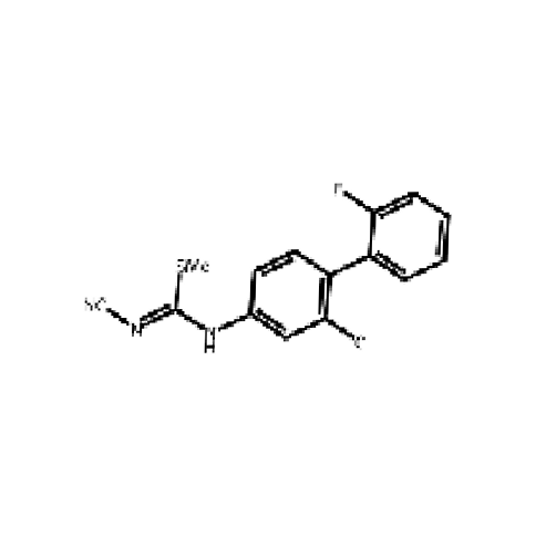 CS/C(=N\C#N)Nc1ccc(-c2ccccc2F)c(Cl)c1